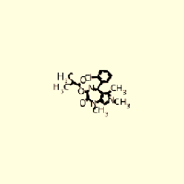 Cc1c2c(cn1C)N(C)C(=O)C(OC(=O)C(C)C)N=C2c1ccccc1Cl